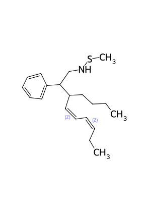 CC/C=C\C=C/C(CCCC)C(CNSC)c1ccccc1